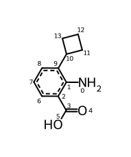 Nc1c(C(=O)O)cccc1C1CCC1